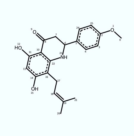 COc1ccc(C2CC(=O)c3c(O)cc(O)c(CC=C(C)C)c3N2)cc1